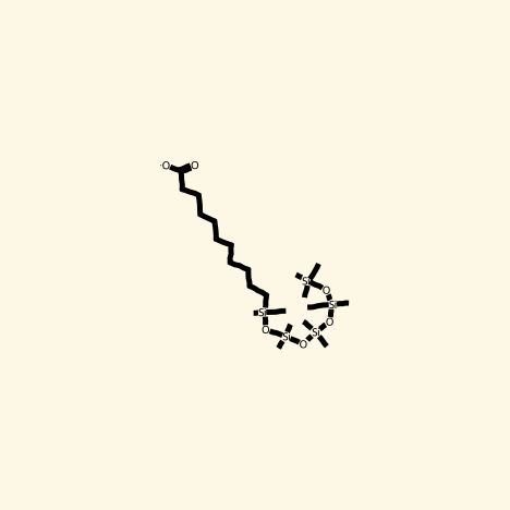 C[Si](C)(C)O[Si](C)(C)O[Si](C)(C)O[Si](C)(C)O[Si](C)(C)CCCCCCCCCCC([O])=O